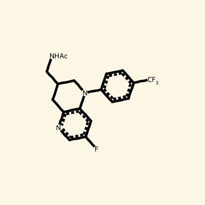 CC(=O)NCC1Cc2ncc(F)cc2N(c2ccc(C(F)(F)F)cc2)C1